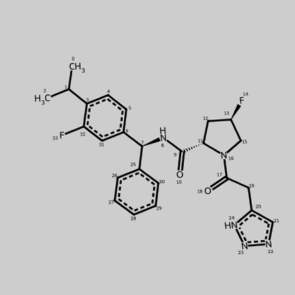 CC(C)c1ccc([C@@H](NC(=O)[C@@H]2C[C@@H](F)CN2C(=O)Cc2cnn[nH]2)c2ccccc2)cc1F